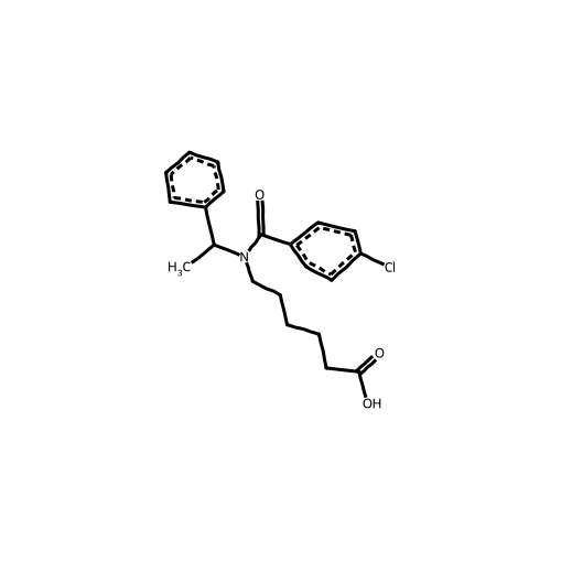 CC(c1ccccc1)N(CCCCCC(=O)O)C(=O)c1ccc(Cl)cc1